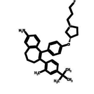 Cc1cc(C(C)(C)C)ccc1C1=C(c2ccc(O[C@H]3CCN(CCCF)C3)cc2)c2ccc(N)cc2CCC1